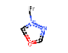 CC(C)[n+]1cocn1